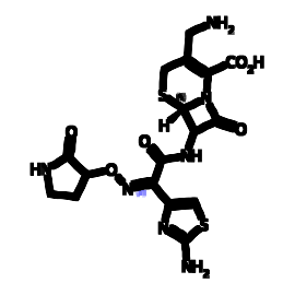 NCC1=C(C(=O)O)N2C(=O)C(NC(=O)/C(=N\OC3CCNC3=O)c3csc(N)n3)[C@@H]2SC1